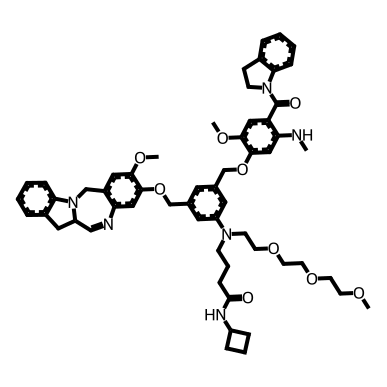 CNc1cc(OCc2cc(COc3cc4c(cc3OC)CN3c5ccccc5CC3C=N4)cc(N(CCCC(=O)NC3CCC3)CCOCCOCCOC)c2)c(OC)cc1C(=O)N1CCc2ccccc21